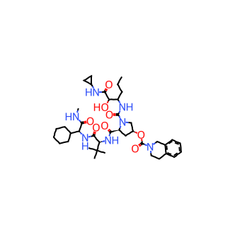 CCCC(NC(=O)N1C[C@@H](OC(=O)N2CCc3ccccc3C2)C[C@H]1C(=O)N[C@H](C(=O)N[C@H](C(=O)NC)C1CCCCC1)C(C)(C)C)C(O)C(=O)NC1CC1